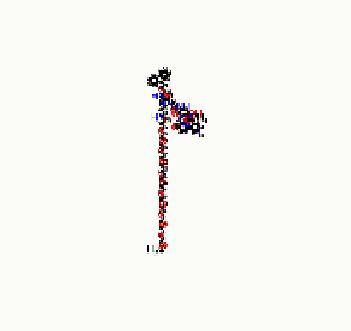 COCCOCCOCCOCCOCCOCCOCCOCCOCCOCCOCCOCCC(=O)NCCCC[C@H](NC(=O)OCC1c2ccccc2-c2ccccc21)C(=O)NCC(=O)N[C@@H](CC(=O)O)C(=O)NCN1C(=O)CCN(c2cc(I)ccc2OC)C1=O